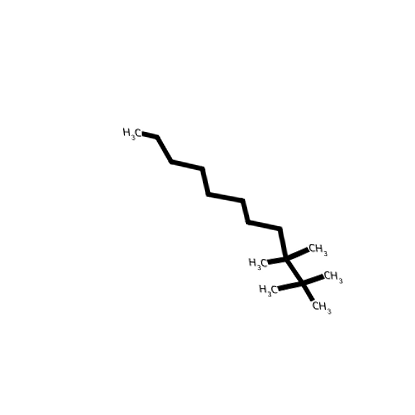 CCCCCCCCC(C)(C)C(C)(C)C